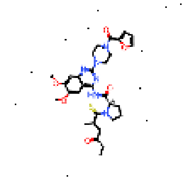 CCC(=O)CC(C)C(=S)N1CCC[C@@H]1C(=O)Nc1nc(N2CCN(C(=O)c3ccco3)CC2)nc2cc(OC)c(OC)cc12